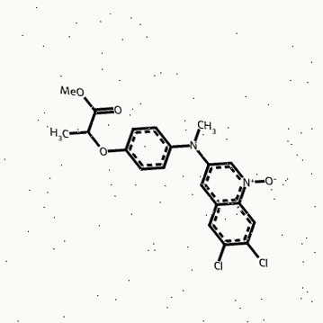 COC(=O)C(C)Oc1ccc(N(C)c2cc3cc(Cl)c(Cl)cc3[n+]([O-])c2)cc1